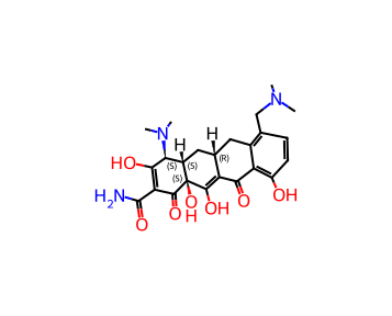 CN(C)Cc1ccc(O)c2c1C[C@H]1C[C@H]3[C@H](N(C)C)C(O)=C(C(N)=O)C(=O)[C@@]3(O)C(O)=C1C2=O